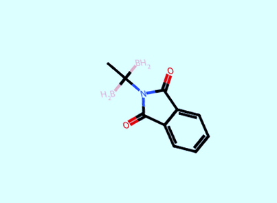 BC(B)(C)N1C(=O)c2ccccc2C1=O